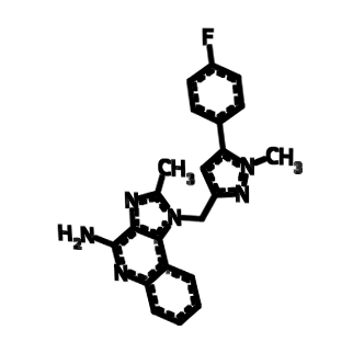 Cc1nc2c(N)nc3ccccc3c2n1Cc1cc(-c2ccc(F)cc2)n(C)n1